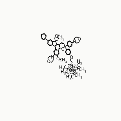 CCC1(CC)c2cc(-c3ccccc3)ccc2-c2c1c1c(c3cc(OC)c(N4CCOCC4)cc23)OC(c2ccc(OCCO[Si](OC(C)(C)C)(OC(C)(C)C)OC(C)(C)C)cc2)(c2ccc(N3CCOCC3)cc2)C=C1